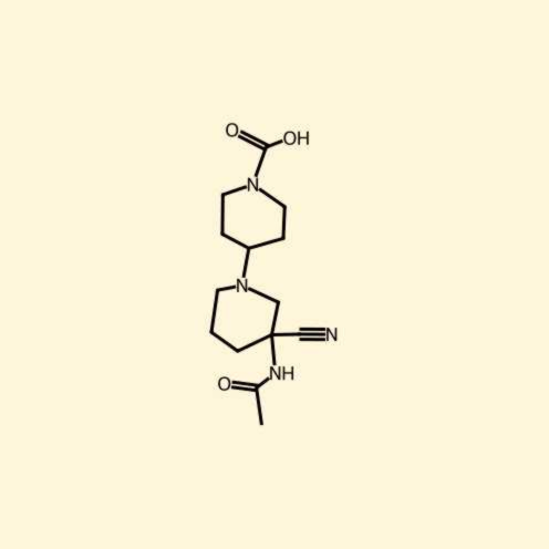 CC(=O)NC1(C#N)CCCN(C2CCN(C(=O)O)CC2)C1